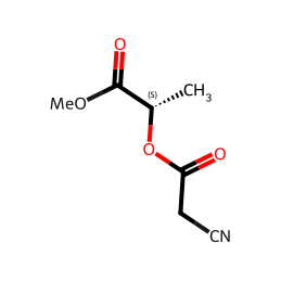 COC(=O)[C@H](C)OC(=O)CC#N